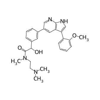 COc1ccccc1-c1c[nH]c2ncc(-c3cccc(C(O)C(=O)N(C)CCN(C)C)c3)cc12